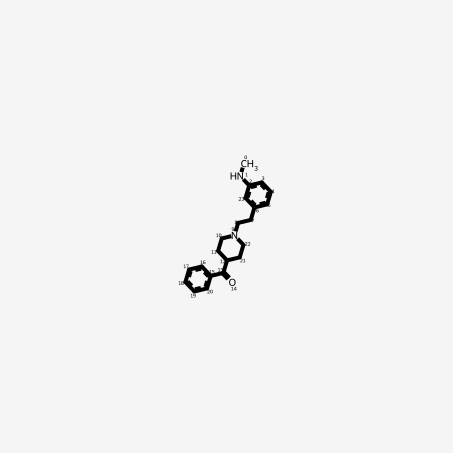 CNc1cccc(CCN2CCC(C(=O)c3ccccc3)CC2)c1